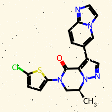 C[C@H]1CN(c2ccc(Cl)s2)C(=O)c2c(-c3ccc4nccn4c3)cnn21